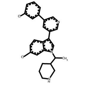 CC(C1CCCNC1)n1cc(-c2cncc(-c3cccc(Cl)c3)c2)c2ccc(Cl)cc21